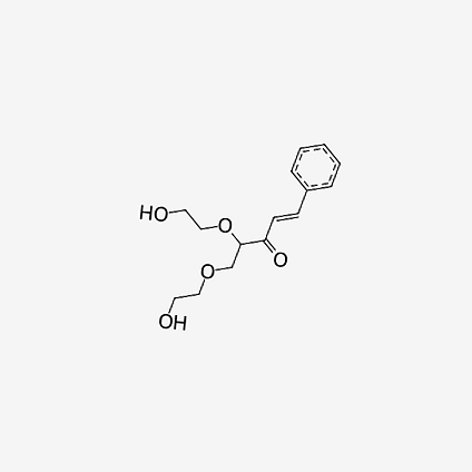 O=C(C=Cc1ccccc1)C(COCCO)OCCO